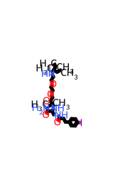 CCCC(C)(NCCOCCOCC(=O)C(C)(CC)NC(CNC(=O)CCc1ccc(I)cc1)C(N)=O)C(C)C